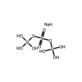 O=S(=O)(O[Si](O)(O)O)O[Si](O)(O)O.[NaH]